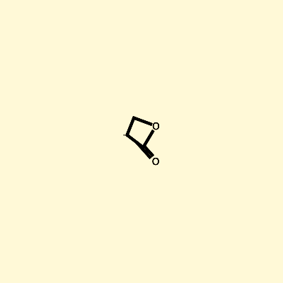 O=C1[CH]CO1